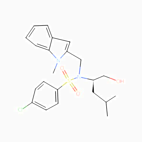 CC(C)C[C@H](CO)N(Cc1cc2ccccc2n1C)S(=O)(=O)c1ccc(Cl)cc1